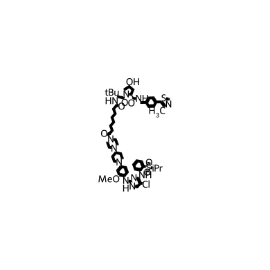 COc1cc(N2CCC(N3CCN(C(=O)CCCCCCC(=O)N[C@H](C(=O)N4C[C@H](O)C[C@H]4C(=O)NCc4ccc(-c5scnc5C)cc4)C(C)(C)C)CC3)CC2)ccc1Nc1ncc(Cl)c(Nc2ccccc2S(=O)(=O)C(C)C)n1